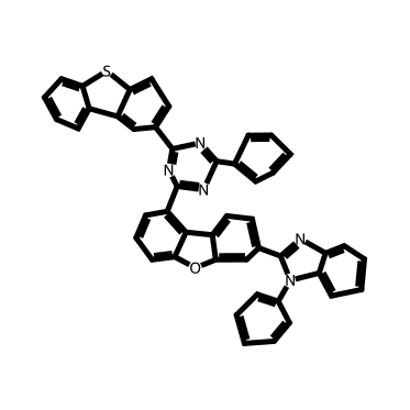 c1ccc(-c2nc(-c3ccc4sc5ccccc5c4c3)nc(-c3cccc4oc5cc(-c6nc7ccccc7n6-c6ccccc6)ccc5c34)n2)cc1